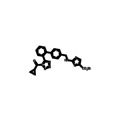 CCOC(=O)c1csc(NCc2ccc(-c3ccccc3-c3nnnn3C(=O)C3CC3)cc2)n1